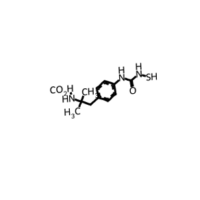 CC(C)(Cc1ccc(NC(=O)NS)cc1)NC(=O)O